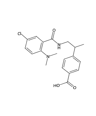 CC(CNC(=O)c1cc(Cl)ccc1N(C)C)c1ccc(C(=O)O)cc1